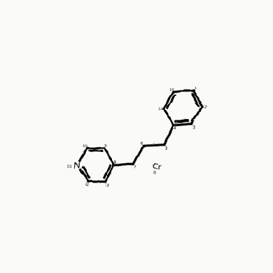 [Cr].c1ccc(CCCc2ccncc2)cc1